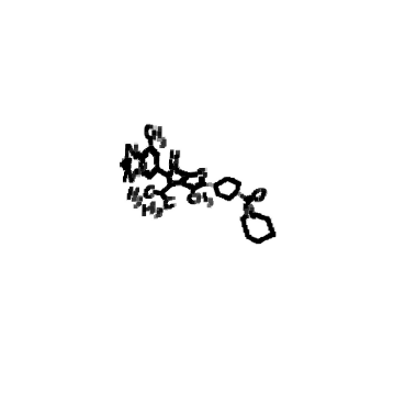 Cc1cc(-c2[nH]c3sc([C@H]4CC[C@H](C(=O)N5CCCCC5)CC4)c(C)c3c2C(C)C)cn2ncnc12